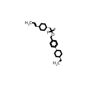 C=C[C@H]1CC[C@H](c2ccc(COC(F)(F)C[C@H]3CC[C@H](C=CC)CC3)cc2)CC1